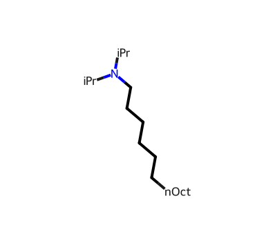 CCCCCCCCCCCCCCN(C(C)C)C(C)C